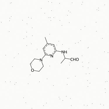 Cc1cc(NC(C)C=O)nc(N2CCOCC2)c1